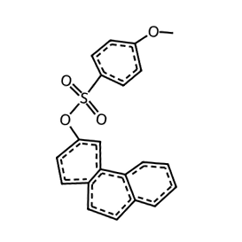 COc1ccc(S(=O)(=O)Oc2ccc3ccc4ccccc4c3c2)cc1